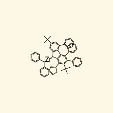 CC(C)(C)c1cc(-c2ccccc2)c2c(c1)[CH]([Zr]=[C](c1ccccc1)c1ccccc1)c1c(C3=CC=CC3)c(C(C)(C)C)c(-c3ccccc3)c(-c3ccccc3)c1-2